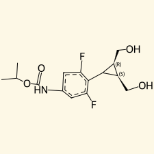 CC(C)OC(=O)Nc1cc(F)c(C2[C@@H](CO)[C@H]2CO)c(F)c1